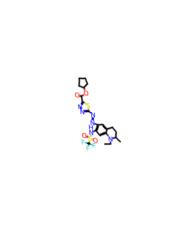 CCN1c2cc(NS(=O)(=O)C(F)(F)F)c(N=Nc3nnc(C(=O)OC4CCCC4)s3)cc2CCC1C